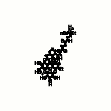 CCCCC(N)(CC)CCNC(=O)CCC(=O)NCCNC(=O)C1CC(CC)C(O[C@@H]2OC(C)[C@@H](O)C(O)C2O)[C@H](O[C@@H]2OC(CO)[C@H](O)C(O[C@@H](CC3CCCCC3)C(=O)O)C2NC(C)=O)C1